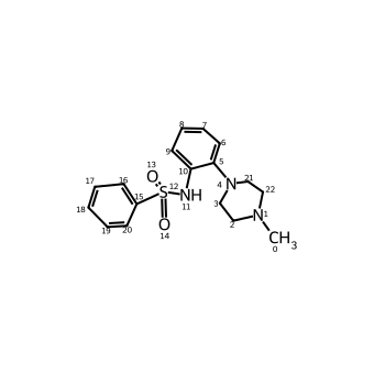 CN1CCN(c2ccccc2NS(=O)(=O)c2ccccc2)CC1